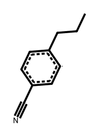 CCCc1[c]cc(C#N)cc1